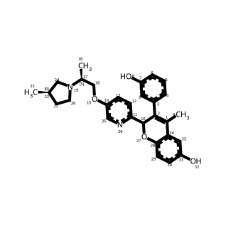 CC1=C(c2cccc(O)c2)C(c2ccc(OC[C@H](C)N3CC[C@@H](C)C3)cn2)Oc2ccc(O)cc21